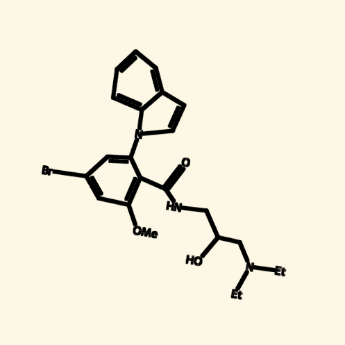 CCN(CC)CC(O)CNC(=O)c1c(OC)cc(Br)cc1-n1ccc2ccccc21